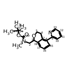 CN(CC1OCCc2c(-c3ccccn3)cccc21)C(=O)OC(C)(C)C